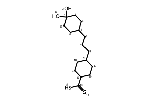 OC1(O)CCC(CCCC2CCC(C(=S)S)CC2)CC1